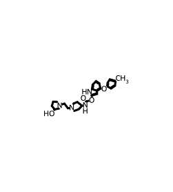 Cc1ccc(Oc2cccc3[nH]c(OC(=O)NC4CCN(CCN5CCCC(O)C5)CC4)cc23)cc1